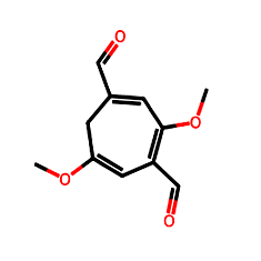 COC1=CC(C=O)=C(OC)C=C(C=O)C1